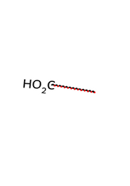 C=CCCCCCCCCCCCCCCCCCCCCCCCCC(=O)O